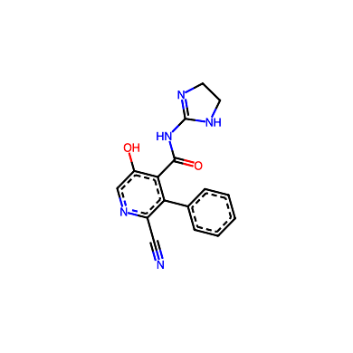 N#Cc1ncc(O)c(C(=O)NC2=NCCN2)c1-c1ccccc1